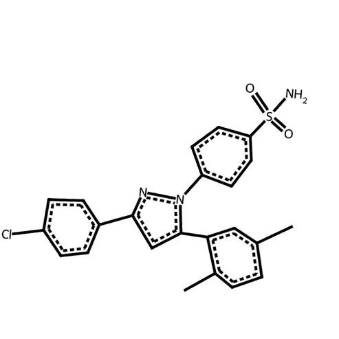 Cc1ccc(C)c(-c2cc(-c3ccc(Cl)cc3)nn2-c2ccc(S(N)(=O)=O)cc2)c1